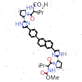 COC(=O)NC(C(=O)N1C[C@@H](C)C[C@H]1c1nc(-c2ccc3cc(-c4ccc(-c5c[nH]c([C@@H]6C[C@H](C)CN6C(=O)C(NC(=O)O)C(C)C)n5)cc4)ccc3c2)c[nH]1)C(C)C